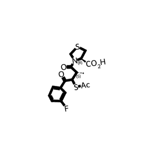 CC(=O)SC(C(=O)c1cccc(F)c1)[C@@H](C)C(=O)N1CSC[C@H]1C(=O)O